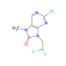 Cn1c(=O)n(CC(F)F)c2nc(Cl)ncc21